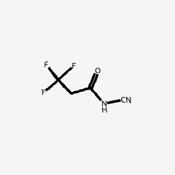 N#CNC(=O)CC(F)(F)F